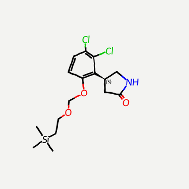 C[Si](C)(C)CCOCOc1ccc(Cl)c(Cl)c1[C@H]1CNC(=O)C1